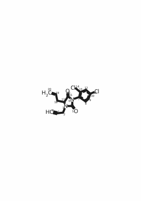 C#CCN1C(=O)N(c2ccc(Cl)cc2Cl)C(=O)C1CC=C